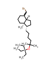 CC[Si](CC)(CC)OC(C)(C)CCCC[C@H]1CC[C@H]2/C(=C/Br)CCC[C@]12C